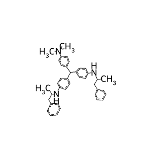 CC(Cc1ccccc1)Nc1ccc(C(c2ccc(NC(C)Cc3ccccc3)cc2)c2ccc(N(C)C)cc2)cc1